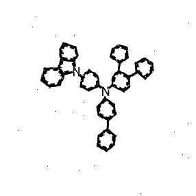 c1ccc(-c2ccc(N(c3ccc(-n4c5ccccc5c5ccccc54)cc3)c3ccc(-c4ccccc4)c(-c4ccccc4)c3)cc2)cc1